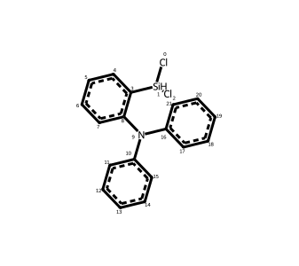 Cl[SiH](Cl)c1ccccc1N(c1ccccc1)c1ccccc1